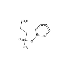 CP(=O)(CCC(=O)O)Oc1ccccc1